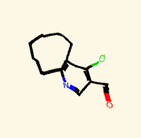 O=Cc1cnc2c(c1Cl)CCCCCC2